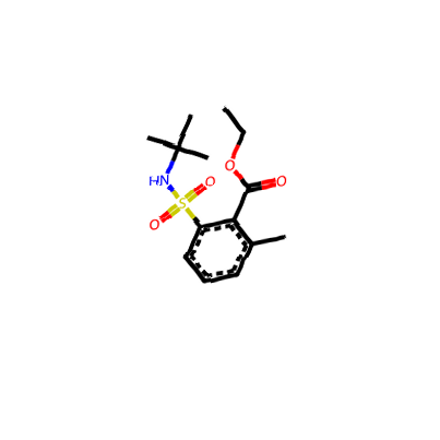 CCOC(=O)c1c(C)cccc1S(=O)(=O)NC(C)(C)C